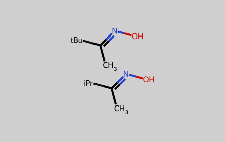 CC(=NO)C(C)(C)C.CC(=NO)C(C)C